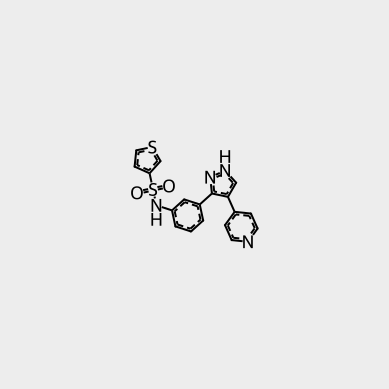 O=S(=O)(Nc1cccc(-c2n[nH]cc2-c2ccncc2)c1)c1ccsc1